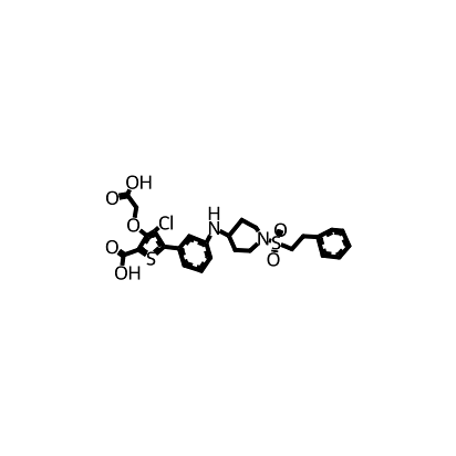 O=C(O)COc1c(C(=O)O)sc(-c2cccc(NC3CCN(S(=O)(=O)CCc4ccccc4)CC3)c2)c1Cl